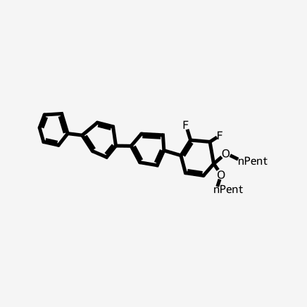 CCCCCOC1(OCCCCC)C=CC(c2ccc(-c3ccc(-c4ccccc4)cc3)cc2)=C(F)C1F